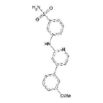 COc1cccc(-c2ccnc(Nc3cccc(S(N)(=O)=O)c3)c2)c1